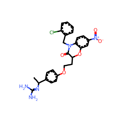 CC(N=C(N)N)c1ccc(OCCC2Oc3cc([N+](=O)[O-])ccc3N(Cc3ccccc3Cl)C2=O)cc1